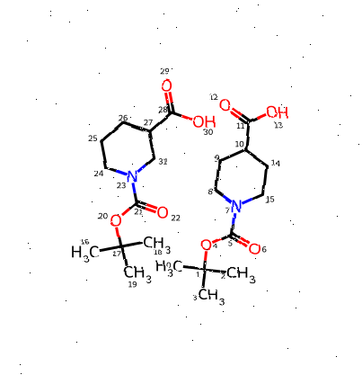 CC(C)(C)OC(=O)N1CCC(C(=O)O)CC1.CC(C)(C)OC(=O)N1CCCC(C(=O)O)C1